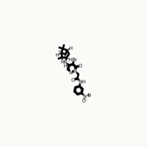 C[C@@H]1[C@H]2C[C@@H](C[C@H]1Nc1cnn(CC(=O)Nc3cccc([N+](=O)[O-])c3)c(=O)c1Br)C2(C)C